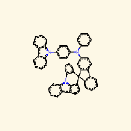 c1ccc(N(c2ccc(-n3c4ccccc4c4ccccc43)cc2)c2ccc3c(c2)C2(c4ccccc4-3)c3ccccc3-n3c4ccccc4c4cccc2c43)cc1